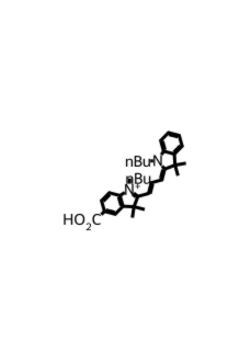 CCCCN1C(=CC=CC2=[N+](CCCC)c3ccc(C(=O)O)cc3C2(C)C)C(C)(C)c2ccccc21